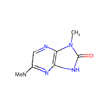 CNc1cnc2c(n1)[nH]c(=O)n2C